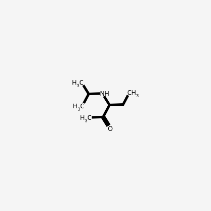 CCC(NC(C)C)C(C)=O